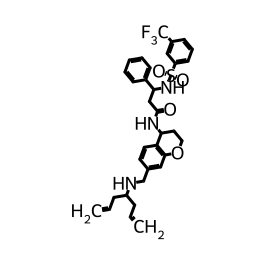 C=CCC(CC=C)NCc1ccc2c(c1)OCCC2NC(=O)CC(NS(=O)(=O)c1cccc(C(F)(F)F)c1)c1ccccc1